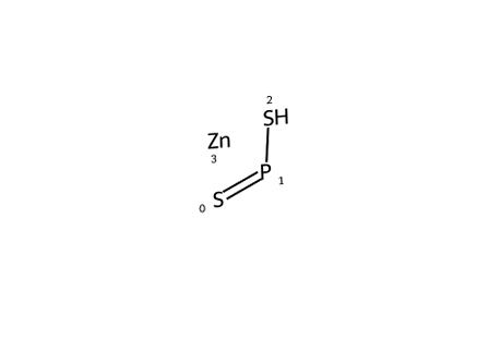 S=PS.[Zn]